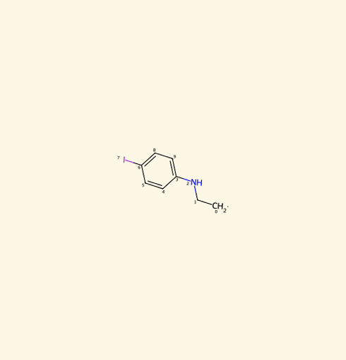 [CH2]CNc1ccc(I)cc1